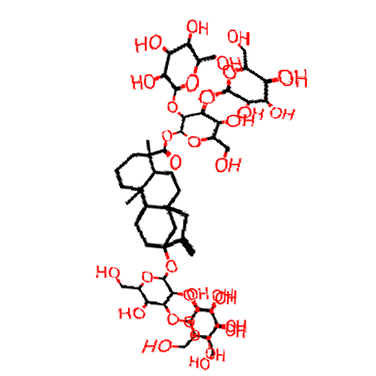 C=C1CC23CCC4C(C)(C(=O)OC5OC(CO)C(O)C(OC6OC(CO)C(O)C(O)C6O)C5OC5OC(CO)C(O)C(O)C5O)CCCC4(C)C2CCC1(OC1OC(CO)C(O)C(OC2OC(CO)C(O)C(O)C2O)C1OC1OC(CO)C(O)C(O)C1O)C3